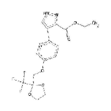 CCOC(=O)c1n[nH]cc1-c1ccc(OCC2(C(F)(F)F)OCCO2)cc1